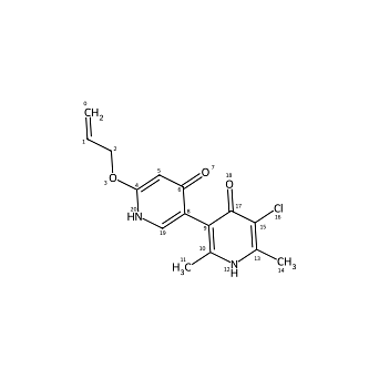 C=CCOc1cc(=O)c(-c2c(C)[nH]c(C)c(Cl)c2=O)c[nH]1